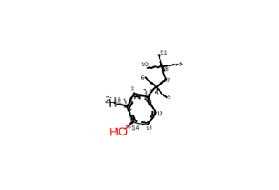 [2H]c1cc(C(C)(C)CC(C)(C)C)ccc1O